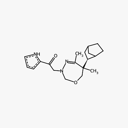 CC1=NN(CC(=O)c2ccc[nH]2)COCC1(C)[C@H]1CC2CCC1C2